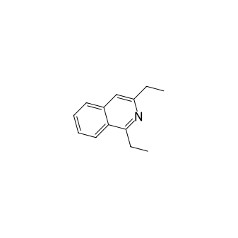 CCc1cc2ccccc2c(CC)n1